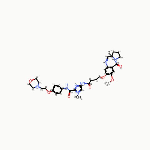 COc1cc2c(cc1OCCCC(=O)Nc1cn(C)c(C(=O)Nc3ccc(OCCN4CCOCC4)cc3)n1)N=C[C@@H]1CCCN1C2=O